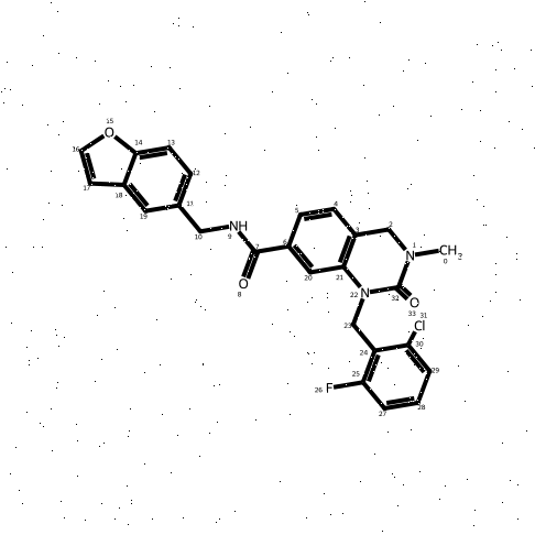 CN1Cc2ccc(C(=O)NCc3ccc4occc4c3)cc2N(Cc2c(F)cccc2Cl)C1=O